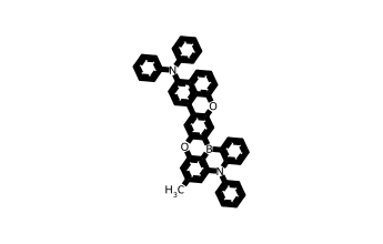 Cc1cc2c3c(c1)N(c1ccccc1)c1ccccc1B3c1cc3c(cc1O2)-c1ccc(N(c2ccccc2)c2ccccc2)c2cccc(c12)O3